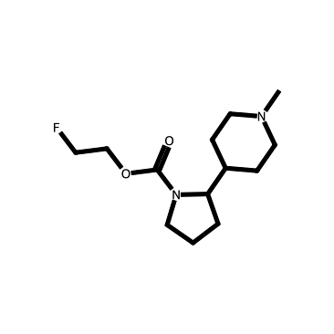 CN1CCC(C2CCCN2C(=O)OCCF)CC1